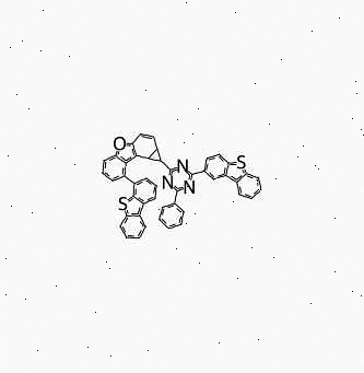 C1=CC2C(c3nc(-c4ccccc4)nc(-c4ccc5sc6ccccc6c5c4)n3)C2c2c1oc1cccc(-c3cccc4c3sc3ccccc34)c21